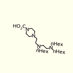 CCCCCCN(CCCCCC)CCN(CCCCCC)CCN1CCN(C(=O)O)CC1